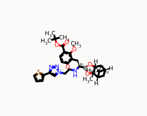 COc1c(C[C@H](NC(=O)Cn2cc(-c3cccs3)nn2)B2O[C@@H]3C[C@@H]4C[C@@H](C4(C)C)[C@]3(C)O2)cccc1C(=O)OC(C)(C)C